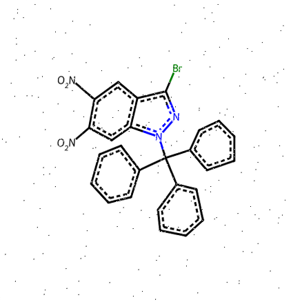 O=[N+]([O-])c1cc2c(Br)nn(C(c3ccccc3)(c3ccccc3)c3ccccc3)c2cc1[N+](=O)[O-]